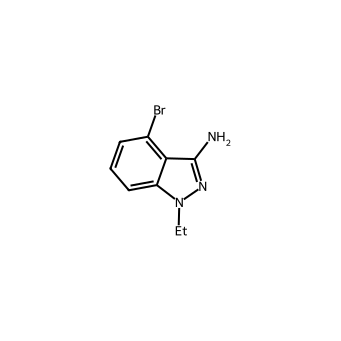 CCn1nc(N)c2c(Br)cccc21